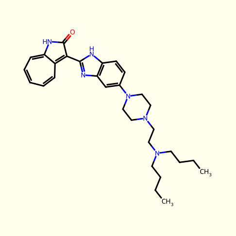 CCCCN(CCCC)CCN1CCN(c2ccc3[nH]c(-c4c5cccccc-5[nH]c4=O)nc3c2)CC1